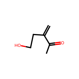 C=C(CCO)C(C)=O